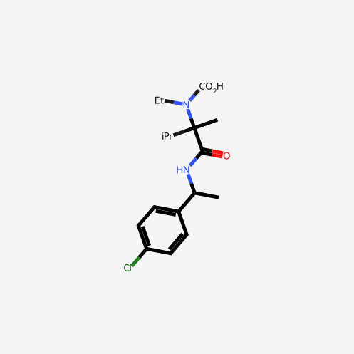 CCN(C(=O)O)C(C)(C(=O)NC(C)c1ccc(Cl)cc1)C(C)C